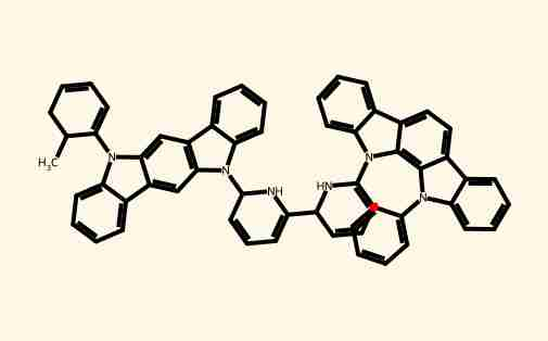 CC1CC=CC=C1n1c2ccccc2c2cc3c(cc21)c1ccccc1n3C1C=CC=C(C2C=CC=C(n3c4ccccc4c4ccc5c6ccccc6n(-c6ccccc6)c5c43)N2)N1